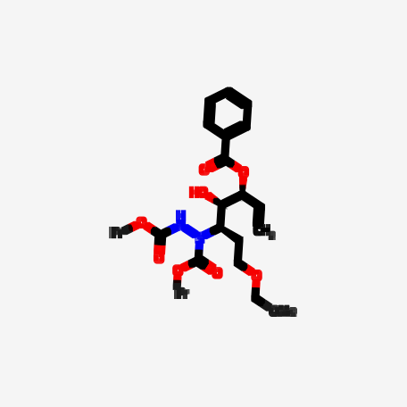 C=C[C@H](OC(=O)c1ccccc1)[C@H](O)[C@@H](CCOCOC)N(NC(=O)OC(C)C)C(=O)OC(C)C